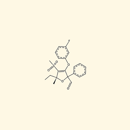 CC[C@@]1(C)OC(C=O)(c2ccccc2)C(Oc2cccc(F)c2)=C1S(C)(=O)=O